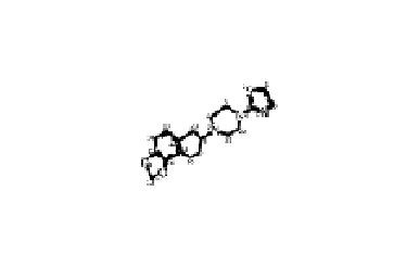 c1csc(N2CCN(C3CCc4c(ccc5c4OCO5)C3)CC2)n1